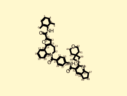 Cc1cccc(C)c1NC(=O)c1cc2c(o1)-c1ccccc1N(C(=O)c1ccc(NC(=O)c3cc4c(nc3N3CC5(CCOCC5)C3)CCC4)cc1)CC2